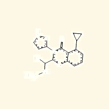 CCC(NC(=O)O)c1nc2cccc(C3CC3)c2c(=O)n1-c1cc[nH]n1